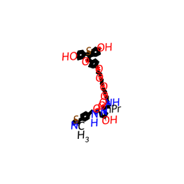 Cc1ncsc1-c1ccc(CNC(=O)[C@@H]2C[C@@H](O)CN2C(=O)[C@@H](NC(=O)COCCOCCOCCOc2ccc(C(=O)c3c(-c4ccc(O)cc4)sc4cc(O)ccc34)cc2)C(C)C)cc1